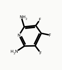 Nc1nc(N)c(F)c(F)c1F